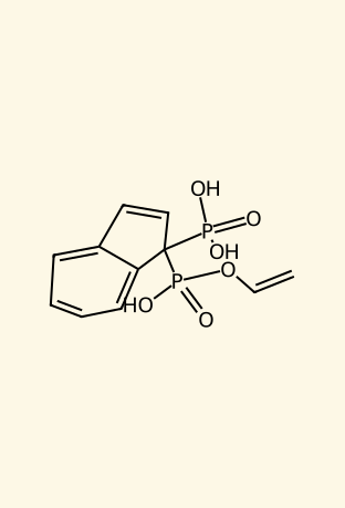 C=COP(=O)(O)C1(P(=O)(O)O)C=Cc2ccccc21